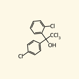 OC(c1ccc(Cl)cc1)(c1ccccc1Cl)C(Cl)(Cl)Cl